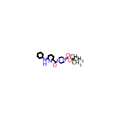 CC(C)(C)OC(=O)N1CCN(C(=O)c2cccc(Nc3ccccc3)n2)CC1